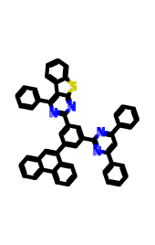 c1ccc(-c2cc(-c3ccccc3)nc(-c3cc(-c4nc(-c5ccccc5)c5c(n4)sc4ccccc45)cc(-c4cc5ccccc5c5ccccc45)c3)n2)cc1